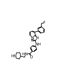 O=C(NCC1CCNCC1)c1ccc(Nc2nc3c(-c4cccc(CF)c4)cccn3n2)cc1